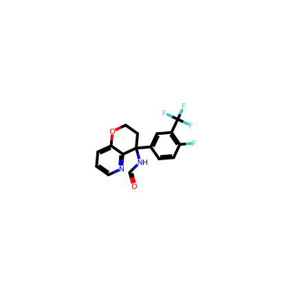 O=CNC1(c2ccc(F)c(C(F)(F)F)c2)CCOc2cccnc21